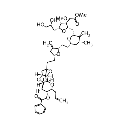 C=CC[C@@H]1O[C@@H]2[C@H]3O[C@@H]4CC(CC[C@H]5CC(=C)[C@H](CC[C@H]6C[C@@H](C)C(=C)[C@@H](C[C@@H]7O[C@H](C[C@H](O)CO)[C@H](OC)[C@H]7CC(=O)OC)O6)O5)(O[C@H]3[C@H]1OC(=O)c1ccccc1)O[C@H]24